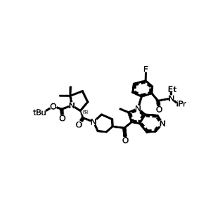 CCN(C(=O)c1cc(F)ccc1-n1c(C)c(C(=O)C2CCN(C(=O)[C@@H]3CCC(C)(C)N3C(=O)OC(C)(C)C)CC2)c2ccncc21)C(C)C